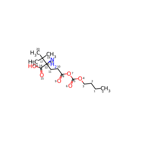 CCCCOC(=O)OC(=O)CC[C@](N)(C(=O)O)C(C)(C)C